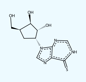 OC[C@@H]1C[C@@H](n2cnc3c(=S)[nH]cnc32)[C@@H](O)[C@@H]1O